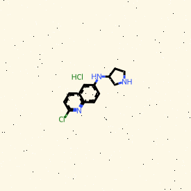 Cl.Clc1ccc2cc(NC3CCNC3)ccc2n1